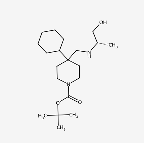 C[C@@H](CO)NCC1(C2CCCCC2)CCN(C(=O)OC(C)(C)C)CC1